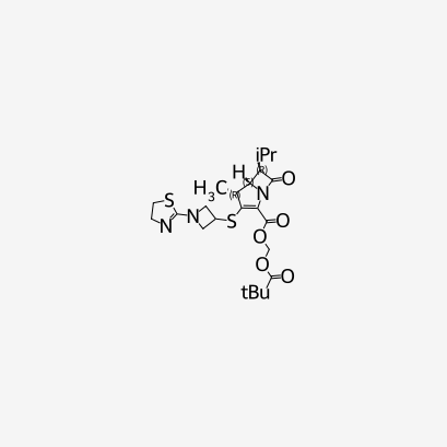 CC(C)[C@H]1C(=O)N2C(C(=O)OCOC(=O)C(C)(C)C)=C(SC3CN(C4=NCCS4)C3)[C@H](C)[C@H]12